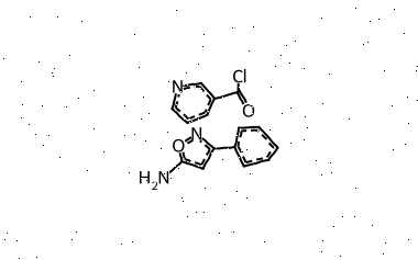 Nc1cc(-c2ccccc2)no1.O=C(Cl)c1cccnc1